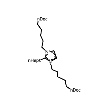 CCCCCCCCCCCCCCCn1cc[n+](CCCCCCCCCCCCCCC)c1CCCCCCC